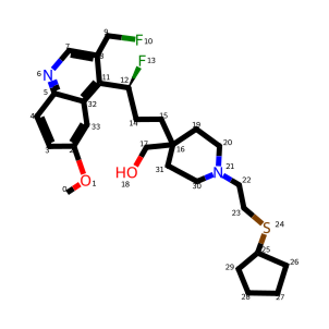 COc1ccc2ncc(CF)c([C@@H](F)CCC3(CO)CCN(CCSC4CCCC4)CC3)c2c1